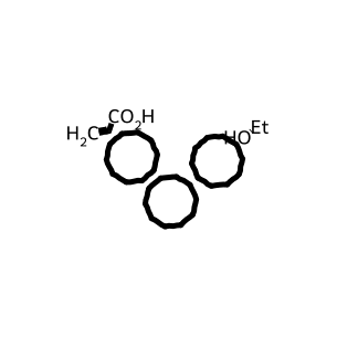 C1CCCCCCCCC1.C1CCCCCCCCC1.C1CCCCCCCCC1.C=CC(=O)O.CCO